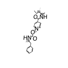 CC[C@H](C)[C@@H](C)NC(=O)c1cc[n+](COC(=O)N[C@@H](C)Cc2ccccc2)cc1